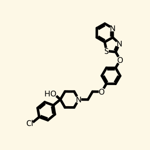 OC1(c2ccc(Cl)cc2)CCN(CCOc2ccc(Oc3nc4ncccc4s3)cc2)CC1